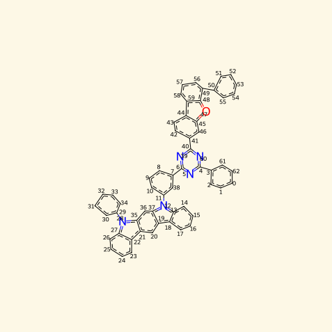 c1ccc(-c2nc(-c3cccc(-n4c5ccccc5c5cc6c7ccccc7n(-c7ccccc7)c6cc54)c3)nc(-c3ccc4c(c3)oc3c(-c5ccccc5)cccc34)n2)cc1